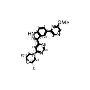 COc1cncc(-c2ccc3[nH]nc(-c4cc(N5C[C@@H](C)O[C@@H](C)C5)ncn4)c3c2)n1